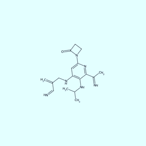 C=C(C=N)CNc1cc(N2CCC2=O)nc(C(C)=N)c1NC(C)C